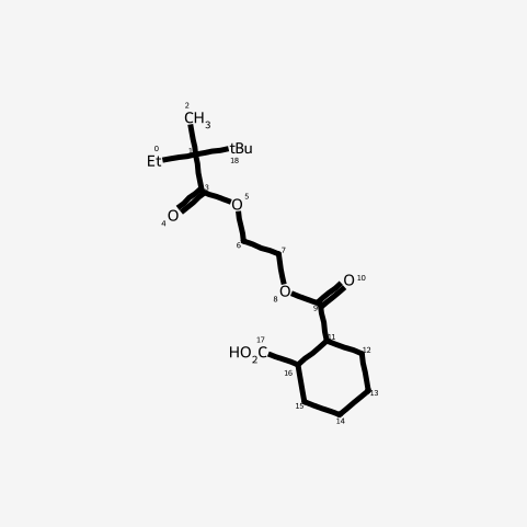 CCC(C)(C(=O)OCCOC(=O)C1CCCCC1C(=O)O)C(C)(C)C